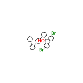 OC1(c2ccccc2-c2ccc3c4ccccc4c4ccccc4c3c2)c2cc(Br)ccc2-c2ccc(Br)cc21